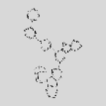 c1ccc(-c2cccc(-c3ccc(-c4cc(-c5ccc6c(c5)C5(c7ccccc7-6)C6CC7CC(C6)CC5C7)cc5c4oc4ccccc45)cc3)c2)cc1